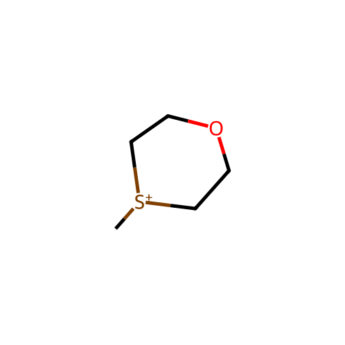 C[S+]1CCOCC1